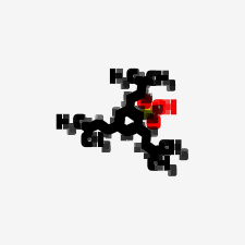 CC(C)CCc1cc(CCC(C)C)c(S(=O)(=O)O)c(CCC(C)C)c1